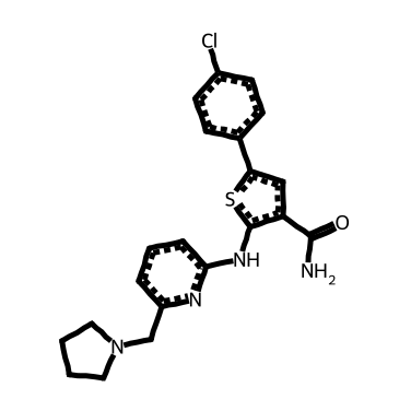 NC(=O)c1cc(-c2ccc(Cl)cc2)sc1Nc1cccc(CN2CCCC2)n1